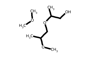 COC.COC(C)COC(C)CO